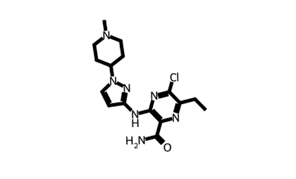 CCc1nc(C(N)=O)c(Nc2ccn(C3CCN(C)CC3)n2)nc1Cl